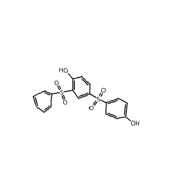 O=S(=O)(c1ccc(O)cc1)c1ccc(O)c(S(=O)(=O)c2ccccc2)c1